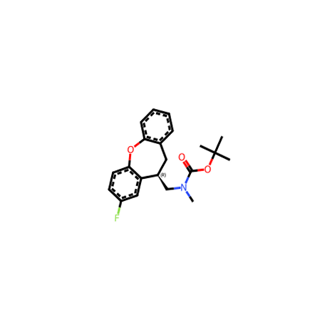 CN(C[C@@H]1Cc2ccccc2Oc2ccc(F)cc21)C(=O)OC(C)(C)C